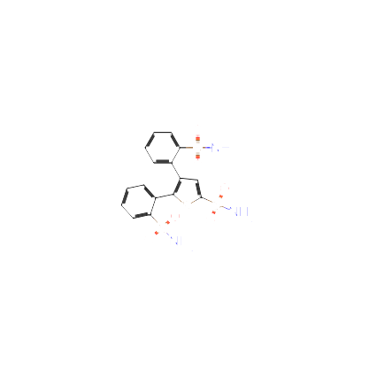 NS(=O)(=O)c1cc(-c2ccccc2S(N)(=O)=O)c(-c2ccccc2S(N)(=O)=O)s1